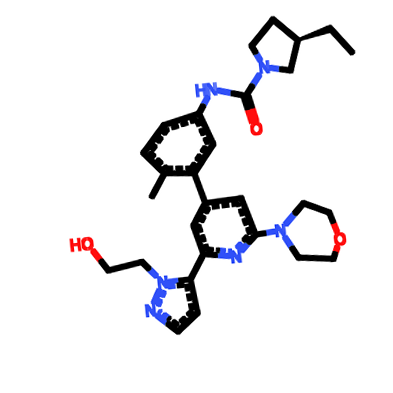 CC[C@@H]1CCN(C(=O)Nc2ccc(C)c(-c3cc(-c4ccnn4CCO)nc(N4CCOCC4)c3)c2)C1